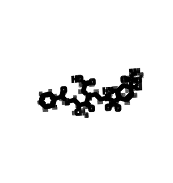 CC(CSC(=O)c1ccccc1)C(=O)N(CCN1NC2=C(C=CC(Cl)(S(N)(=O)=O)C2)S1(=O)=O)CC(=O)O